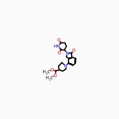 COC(OC)C1CCN(c2cccc3c2CN(C2CCC(=O)NC2=O)C3=O)CC1